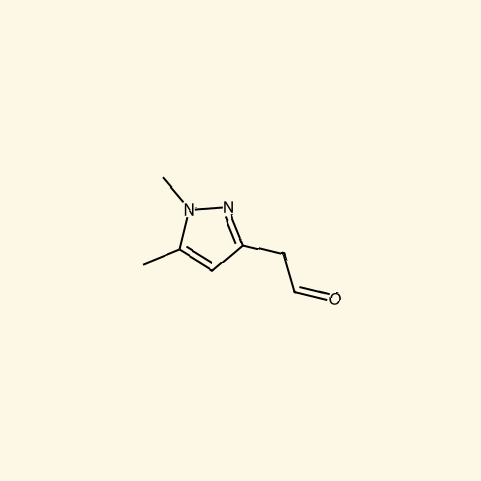 Cc1cc(CC=O)nn1C